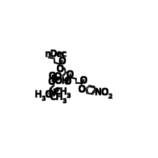 CCCCCCCCCCCCCC(=O)OC[C@H](COP(=O)(O)OCC[N+](C)(C)C)OC(=O)CCC(=O)Oc1ccc([N+](=O)[O-])cc1